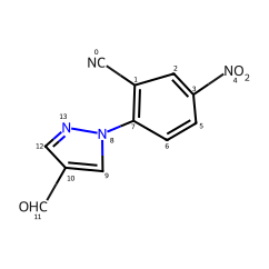 N#Cc1cc([N+](=O)[O-])ccc1-n1cc(C=O)cn1